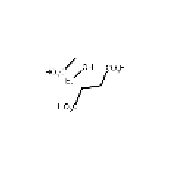 CC(=O)O.CCO.O=C(O)CCC(=O)O